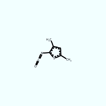 Cc1cc(C)c(N=C=O)s1